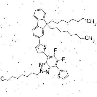 CCCCCCCCn1nc2c(-c3cccs3)c(F)c(F)c(-c3ccc(-c4ccc5c(c4)C(CCCCCCCC)(CCCCCCCC)c4ccccc4-5)s3)c2n1